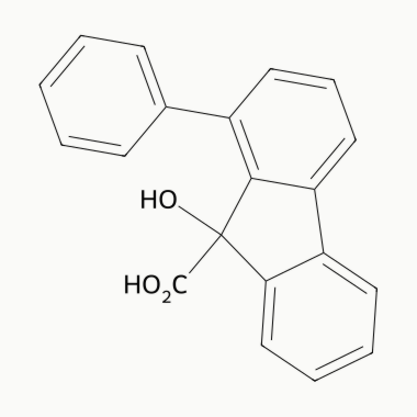 O=C(O)C1(O)c2ccccc2-c2cccc(-c3ccccc3)c21